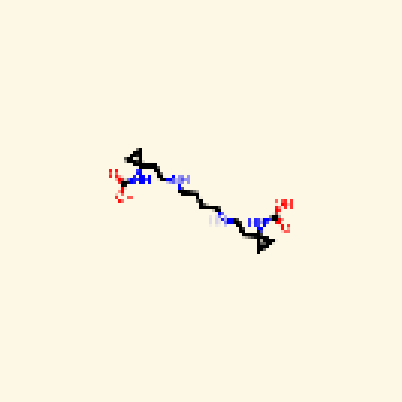 O=C(O)NC1(CCNCCCCNCCC2(NC(=O)O)CC2)CC1